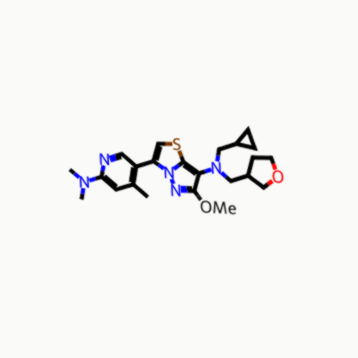 COc1nn2c(-c3cnc(N(C)C)cc3C)csc2c1N(CC1CC1)CC1CCOC1